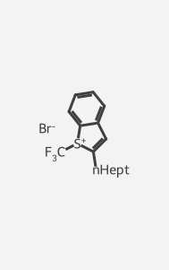 CCCCCCCc1cc2ccccc2[s+]1C(F)(F)F.[Br-]